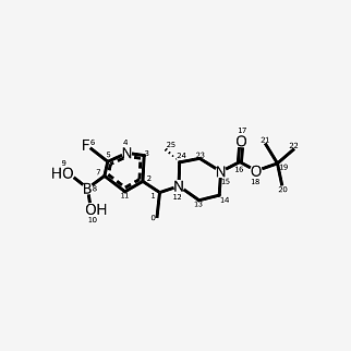 CC(c1cnc(F)c(B(O)O)c1)N1CCN(C(=O)OC(C)(C)C)C[C@H]1C